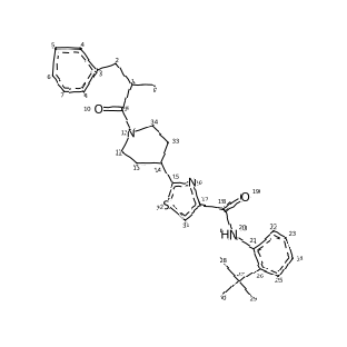 CC(Cc1ccccc1)C(=O)N1CCC(c2nc(C(=O)Nc3ccccc3C(C)(C)C)cs2)CC1